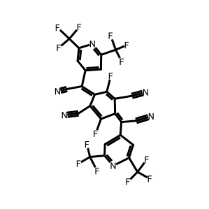 N#C/C(c1cc(C(F)(F)F)nc(C(F)(F)F)c1)=c1/c(F)c(C#N)/c(=C(\C#N)c2cc(C(F)(F)F)nc(C(F)(F)F)c2)c(F)c1C#N